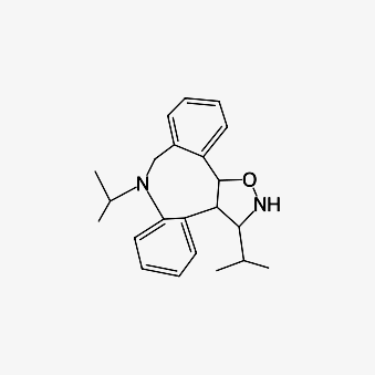 CC(C)C1NOC2c3ccccc3CN(C(C)C)c3ccccc3C21